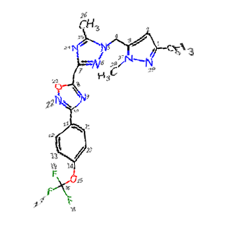 Cc1cc(Cn2nc(-c3nc(-c4ccc(OC(F)(F)F)cc4)no3)nc2C)n(C)n1